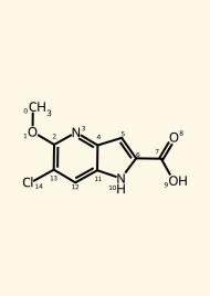 COc1nc2cc(C(=O)O)[nH]c2cc1Cl